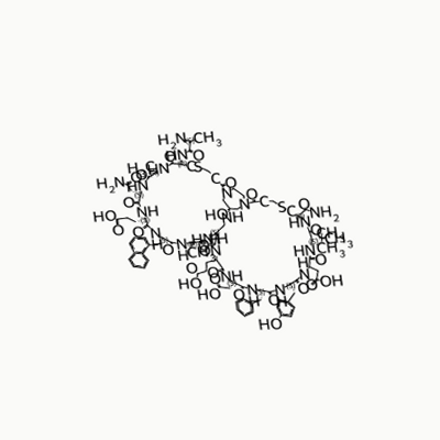 C[C@H](N)C(=O)N[C@H]1CSCCC(=O)N2CCN3CC(O)(C2)NC[C@H](NC(=O)[C@@H](C)NC(=O)[C@H](Cc2cccc4ccccc24)NC(=O)[C@H](CCC(=O)O)NC(=O)[C@H](CC(N)=O)NC(=O)[C@@H](C)NC1=O)C(=O)NC(CCC(=O)O)C(=O)N[C@@H](CC(=O)O)C(=O)N[C@@H](Cc1ccccc1)C(=O)N[C@@H](Cc1ccc(O)cc1)C(=O)NC(CC(=O)O)C(=O)N[C@@H](C(C)(C)C)C(=O)N[C@H](C(N)=O)CSCCC3=O